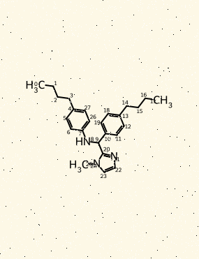 CCCCc1ccc(NC(c2ccc(CCCC)cc2)c2nccn2C)cc1